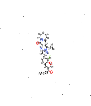 COC(=O)C1=Cc2ccc(-c3cc4nc(C(=O)N5CCCCC[C@H]5C)cc(C5CC5)n4n3)c(F)c2OC1